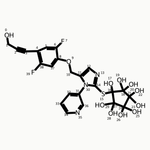 OCC#Cc1cc(F)c(OCc2cnc(SC3(O)C(O)(O)C(O)(O)C(O)(O)C3(O)O)n2-c2cccnc2)cc1F